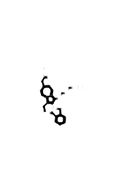 CCCc1c2ccc(CC(=O)OC)ccc-2c(OC(=O)OCC)c1N1C(=O)c2ccccc2C1=O